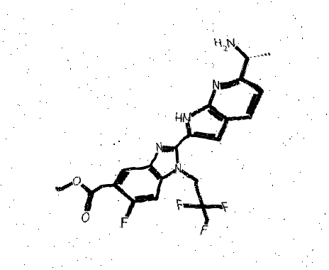 COC(=O)c1cc2nc(-c3cc4ccc([C@@H](C)N)nc4[nH]3)n(CC(F)(F)F)c2cc1F